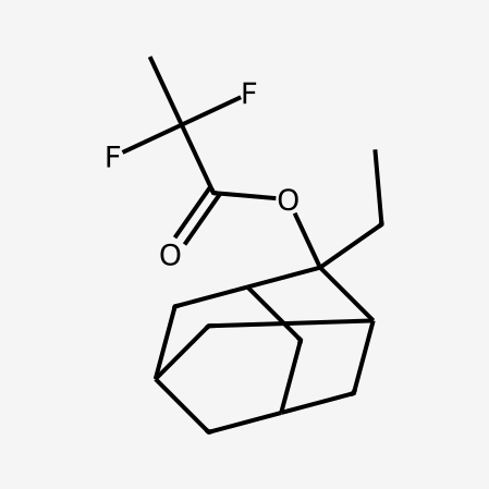 CCC1(OC(=O)C(C)(F)F)C2CC3CC(C2)CC1C3